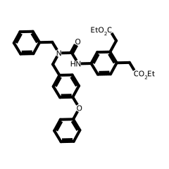 CCOC(=O)Cc1ccc(NC(=O)N(Cc2ccccc2)Cc2ccc(Oc3ccccc3)cc2)cc1CC(=O)OCC